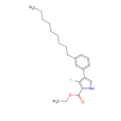 CCCCCCCCCc1cccc(-c2c[nH]c(C(=O)OCC)c2F)c1